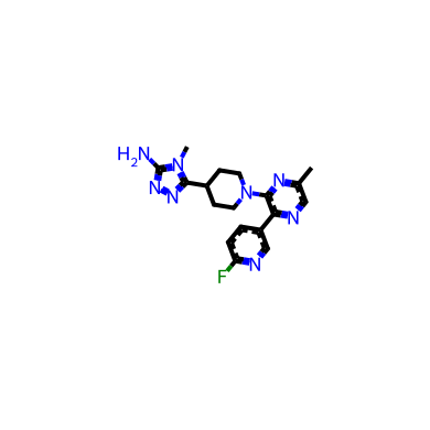 Cc1cnc(-c2ccc(F)nc2)c(N2CCC(c3nnc(N)n3C)CC2)n1